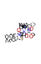 CC(=O)OCC1=C(C(=O)[O-])N2C(=O)[C@@H](NC(=O)C(=NOC3(C(=O)[O-])CCCC3)c3ccco3)[C@H]2SC1.[Na+].[Na+]